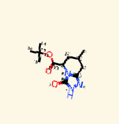 CC1Cc2n[nH]c(=O)n2C(C(=O)OC(C)(C)C)C1